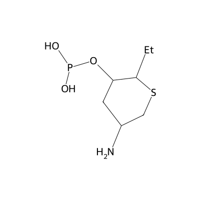 CCC1SCC(N)CC1OP(O)O